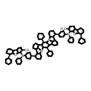 Cc1ccc2c(oc3c(-c4ccccc4)cccc32)c1N(c1ccccc1)c1ccc(-c2cccc3c2c2cccc4c5c(-c6ccccc6)c6c(c(-c7ccccc7)c5n3c24)c2cccc3c4c(-c5ccc(N(c7ccccc7)c7c(C)ccc8c7oc7c(-c9ccccc9)cccc78)cc5)cccc4n6c32)cc1